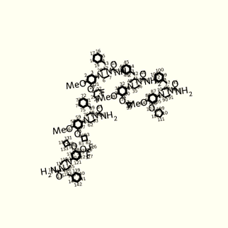 COc1ccc(N2CCN(C(N)=O)[C@@H](Cc3ccccc3)C2)cc1OC(CF)CF.COc1ccc(N2CCN(C(N)=O)[C@@H](Cc3ccccc3)C2)cc1OC1CC1.COc1ccc(N2CCN(C(N)=O)[C@@H](Cc3ccccc3)C2)cc1OC1CCC1.COc1ccc(N2CCN(C(N)=O)[C@@H](Cc3ccccc3)C2)cc1OC1CCCC1.NC(=O)N1CCN(c2ccc(OC(F)F)c(OC3CCC3)c2)C[C@@H]1Cc1ccccc1